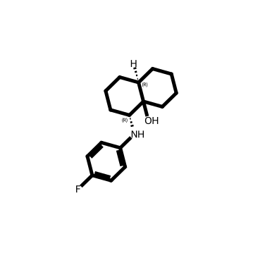 OC12CCCC[C@@H]1CCC[C@H]2Nc1ccc(F)cc1